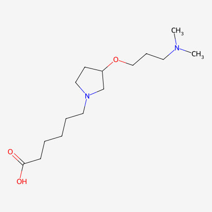 CN(C)CCCOC1CCN(CCCCCC(=O)O)C1